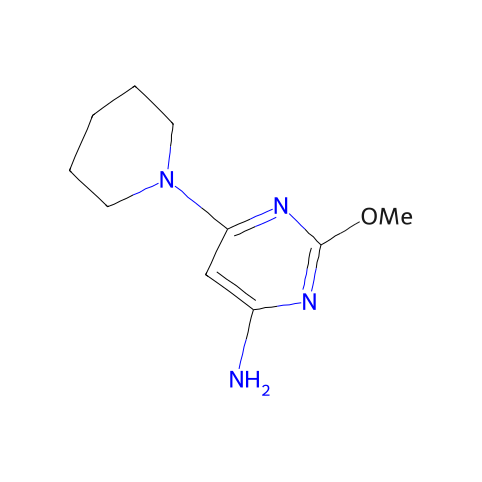 COc1nc(N)cc(N2CCCCC2)n1